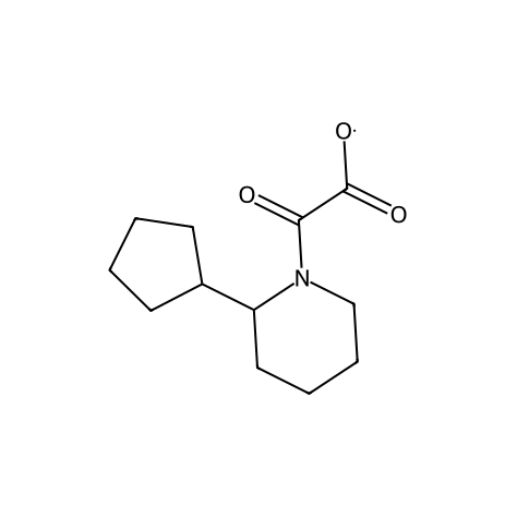 [O]C(=O)C(=O)N1CCCCC1C1CCCC1